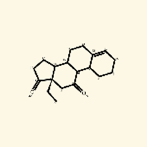 CC[C@]12CC(=O)C3C4CCCC=C4CCC3C1CCC2=O